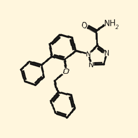 NC(=O)c1ncnn1-c1cccc(-c2ccccc2)c1OCc1ccccc1